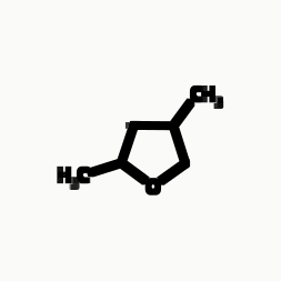 CC1[CH]C(C)OC1